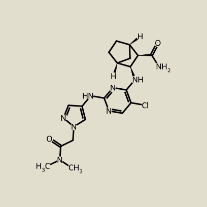 CN(C)C(=O)Cn1cc(Nc2ncc(Cl)c(N[C@H]3[C@@H]4CC[C@@H](C4)[C@H]3C(N)=O)n2)cn1